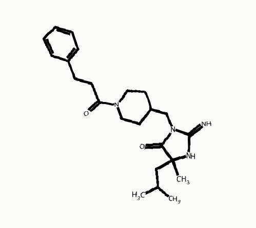 CC(C)CC1(C)NC(=N)N(CC2CCN(C(=O)CCc3ccccc3)CC2)C1=O